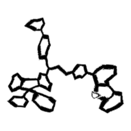 c1ccc(-c2ccc(C(CCc3ccc(-c4cccc5c4oc4ccccc45)cc3)c3ccc4c(c3)-c3ccccc3C4(c3ccccc3)c3ccccc3)cc2)cc1